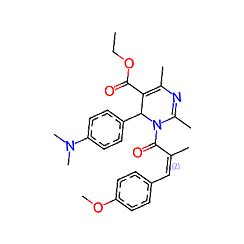 CCOC(=O)C1=C(C)N=C(C)N(C(=O)/C(C)=C\c2ccc(OC)cc2)C1c1ccc(N(C)C)cc1